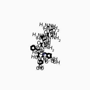 N=C(N)NC(NC(=O)C(NC(=N)N)NC(=O)C(NC(=N)N)NC(=O)C(NC(=N)N)NC(=O)C(NC(=O)C(O)N(C/C=C\c1ccc(NOO)cc1)c1ncc([N+](=O)[O-])cc1[N+](=O)[O-])c1ccccc1)C(N)=O